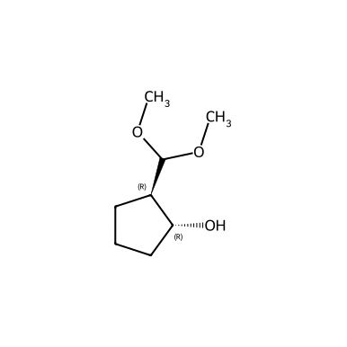 COC(OC)[C@@H]1CCC[C@H]1O